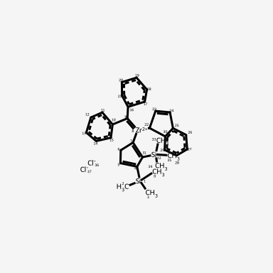 C[Si](C)(C)C1=CC[C]([Zr+2](=[C](c2ccccc2)c2ccccc2)[CH]2C=Cc3ccccc32)=C1[Si](C)(C)C.[Cl-].[Cl-]